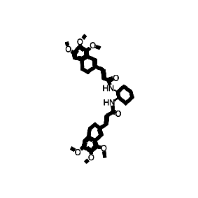 COc1cc2c(c(OC)c1OC)C=C(/C=C/C(=O)N[C@@H]1CCCC[C@H]1NC(=O)/C=C/C1=Cc3c(cc(OC)c(OC)c3OC)CC1)CC2